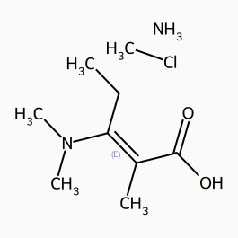 CC/C(=C(/C)C(=O)O)N(C)C.CCl.N